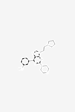 Oc1cccc(-c2nc(N3CCOCC3)nc3c2ncn3CCN2CCCC2)c1